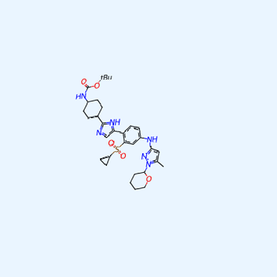 Cc1cc(Nc2ccc(-c3cnc(C4CCC(NC(=O)OC(C)(C)C)CC4)[nH]3)c(S(=O)(=O)C3CC3)c2)nn1C1CCCCO1